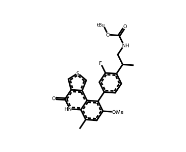 COc1cc(C)c2[nH]c(=O)c3cscc3c2c1-c1ccc(C(C)CNC(=O)OC(C)(C)C)c(F)c1